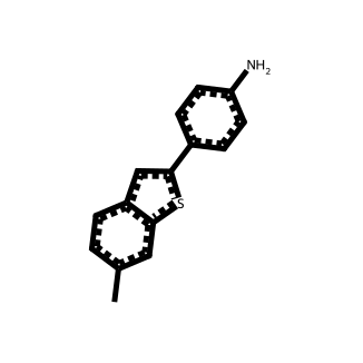 Cc1ccc2cc(-c3ccc(N)cc3)sc2c1